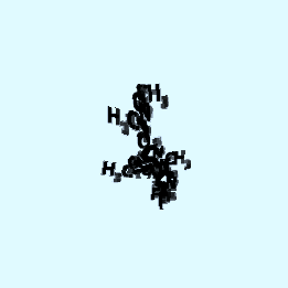 CCS(=O)(=O)c1cc(OC/C(C)=N/OC)cnc1-c1nc2cc(C(F)(F)F)ncc2n1C